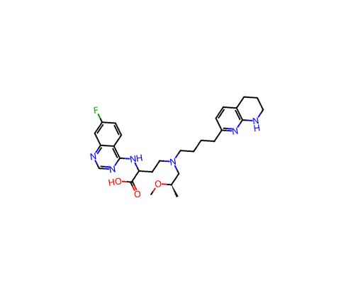 CO[C@H](C)CN(CCCCc1ccc2c(n1)NCCC2)CCC(Nc1ncnc2cc(F)ccc12)C(=O)O